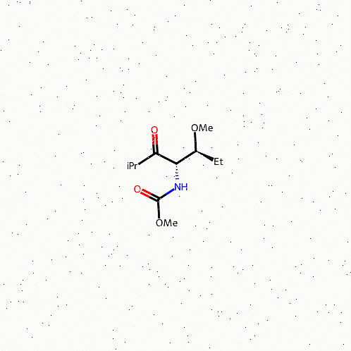 CC[C@H](OC)[C@H](NC(=O)OC)C(=O)C(C)C